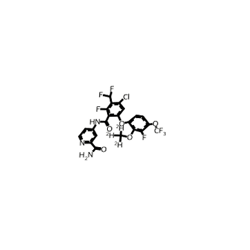 [2H]C([2H])([2H])Oc1c(Oc2cc(Cl)c(C(F)F)c(F)c2C(=O)Nc2ccnc(C(N)=O)c2)ccc(OC(F)(F)F)c1F